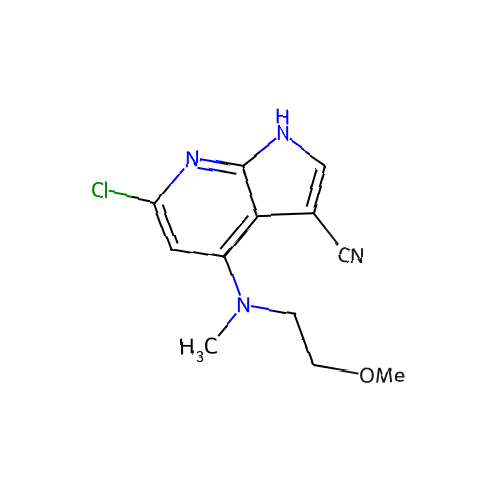 COCCN(C)c1cc(Cl)nc2[nH]cc(C#N)c12